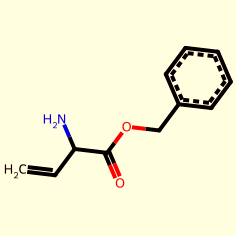 C=CC(N)C(=O)OCc1ccccc1